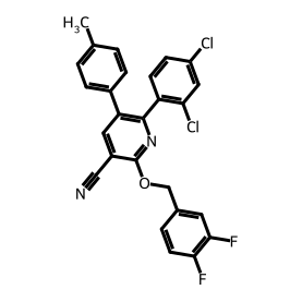 Cc1ccc(-c2cc(C#N)c(OCc3ccc(F)c(F)c3)nc2-c2ccc(Cl)cc2Cl)cc1